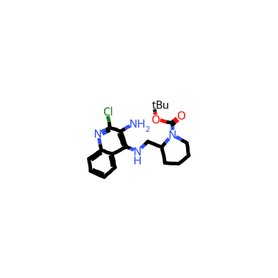 CC(C)(C)OC(=O)N1CCCCC1CNc1c(N)c(Cl)nc2ccccc12